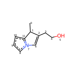 CC1C(CCO)=Cn2cccc21